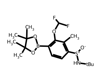 Cc1c([S+]([O-])NC(C)(C)C)ccc(B2OC(C)(C)C(C)(C)O2)c1OC(F)F